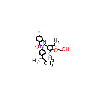 CCC(C)c1ccc(-n2c(-c3cc(C)c(OCCO)c(C)c3)nc3cc(F)ccc3c2=O)cc1